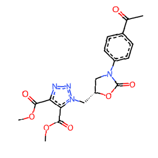 COC(=O)c1nnn(C[C@@H]2CN(c3ccc(C(C)=O)cc3)C(=O)O2)c1C(=O)OC